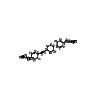 CCCCCCCc1ccc([C@H]2CC[C@H](C#Cc3ccc(OCCCC)cc3)CC2)cc1